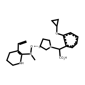 C=CC1=C(N(C)O[C@@H]2CCN(C(C(=O)O)c3ccccc3OC3CC3)C2)NCCC1